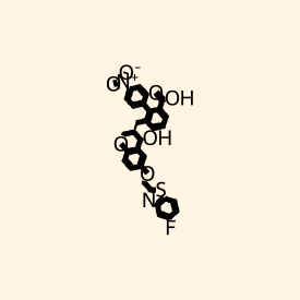 O=C(O)c1cccc(C[C@@H]2COc3ccc(OCc4nc5cc(F)ccc5s4)cc3[C@@H]2O)c1-c1ccc([N+](=O)[O-])cc1